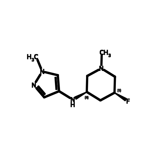 CN1C[C@@H](F)C[C@@H](Nc2cnn(C)c2)C1